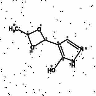 CC1OC(c2cn[nH]c2O)O1